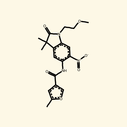 COCCN1C(=O)C(C)(C)c2cc(NC(=O)c3coc(C)c3)c([N+](=O)[O-])cc21